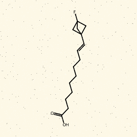 O=C(O)CCCCCCCC=CC12CC(F)(C1)C2